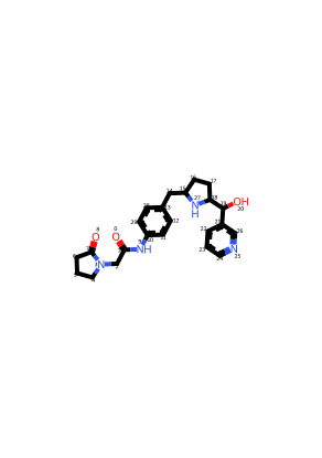 O=C(CN1CCCC1=O)Nc1ccc(CC2CCC(C(O)c3cccnc3)N2)cc1